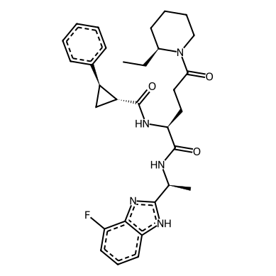 CC[C@H]1CCCCN1C(=O)CC[C@H](NC(=O)[C@@H]1C[C@H]1c1ccccc1)C(=O)N[C@@H](C)c1nc2c(F)cccc2[nH]1